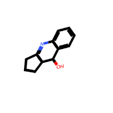 OC1c2ccccc2N=C2CCCC21